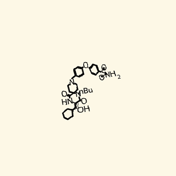 CCCCN1C(=O)[C@@H]([C@H](O)C2CCCCC2)NC(=O)C12CCN(Cc1ccc(Oc3ccc(S(N)(=O)=O)cc3)cc1)CC2